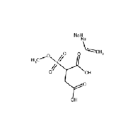 C=[CH][Na].COS(=O)(=O)C(CC(=O)O)C(=O)O.[NaH]